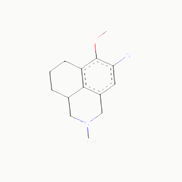 COc1c(N)cc2c3c1CCCC3CN(C)C2